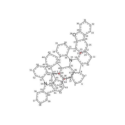 c1ccc(-c2cccc(-c3ccccc3N(c3ccccc3-c3cccc4c3oc3ccccc34)c3cccc4c3-c3ccccc3C43c4ccccc4-n4c5ccccc5c5cccc3c54)c2)cc1